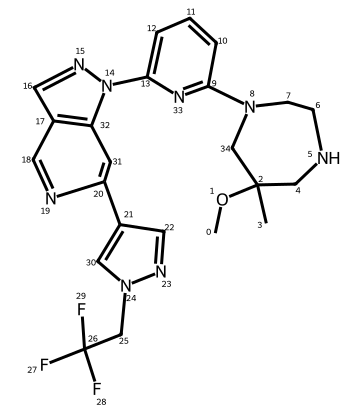 COC1(C)CNCCN(c2cccc(-n3ncc4cnc(-c5cnn(CC(F)(F)F)c5)cc43)n2)C1